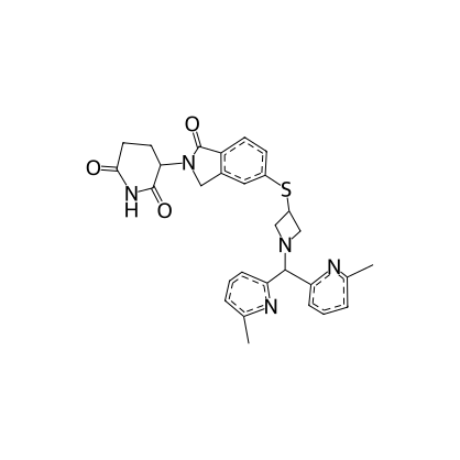 Cc1cccc(C(c2cccc(C)n2)N2CC(Sc3ccc4c(c3)CN(C3CCC(=O)NC3=O)C4=O)C2)n1